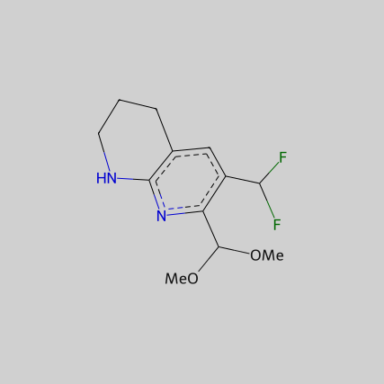 COC(OC)c1nc2c(cc1C(F)F)CCCN2